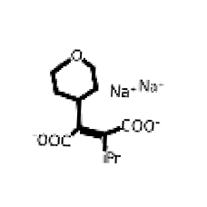 CC(C)C(C(=O)[O-])=C(C(=O)[O-])C1CCOCC1.[Na+].[Na+]